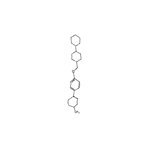 CC1CCC(c2ccc(OCC3CCC(C4CCCCC4)CC3)cc2)CC1